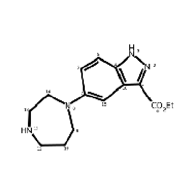 CCOC(=O)c1n[nH]c2ccc(N3CCCNCC3)cc12